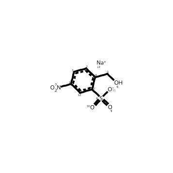 O=[N+]([O-])c1ccc(CO)c(S(=O)(=O)[O-])c1.[Na+]